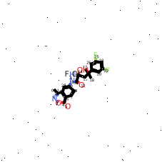 Cc1noc(=O)c2ccc(NC(=O)C(O)(CC(C)(C)c3cc(F)cc(F)c3)C(F)(F)F)cc12